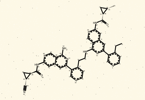 CCc1ccncc1-c1cc2cc(NC(=O)[C@@H]3C[C@@H]3C)ncc2c(NCCc2ccncc2-c2cc3cc(NC(=O)[C@@H]4C[C@H]4C#N)ncc3c(N)n2)n1